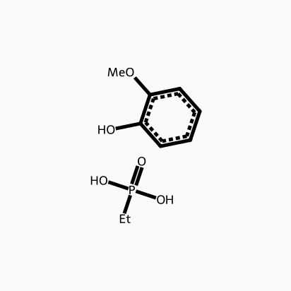 CCP(=O)(O)O.COc1ccccc1O